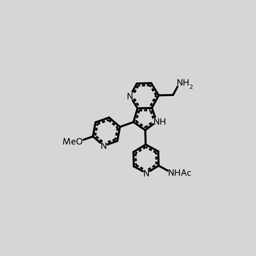 COc1ccc(-c2c(-c3ccnc(NC(C)=O)c3)[nH]c3c(CN)ccnc23)cn1